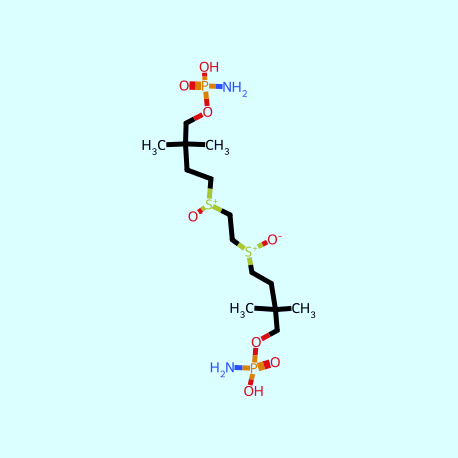 CC(C)(CC[S+]([O-])CC[S+]([O-])CCC(C)(C)COP(N)(=O)O)COP(N)(=O)O